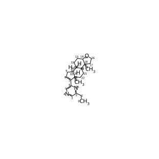 CCc1cncc(C2=CC[C@H]3[C@@H]4CCC5OCC[C@]5(C)[C@H]4CC[C@]23C)n1